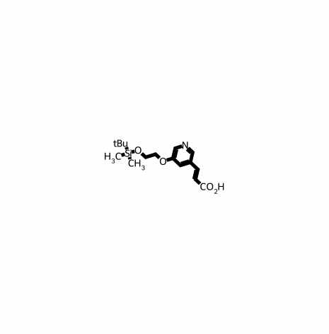 CC(C)(C)[Si](C)(C)OCCOc1cncc(/C=C/C(=O)O)c1